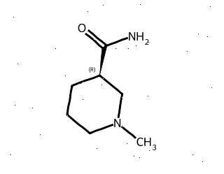 CN1CCC[C@@H](C(N)=O)C1